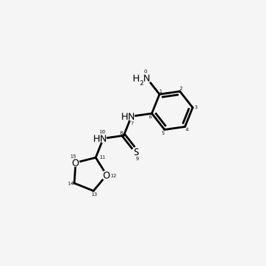 Nc1ccccc1NC(=S)NC1OCCO1